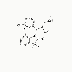 CNCC(O)C(c1cccc(Cl)c1)N1C(=O)C(C)(C)c2cccc(F)c21